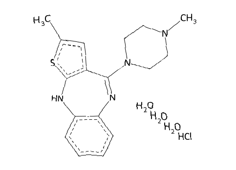 Cc1cc2c(s1)Nc1ccccc1N=C2N1CCN(C)CC1.Cl.O.O.O